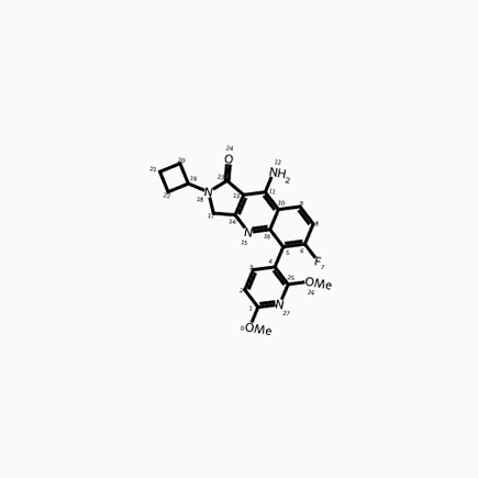 COc1ccc(-c2c(F)ccc3c(N)c4c(nc23)CN(C2CCC2)C4=O)c(OC)n1